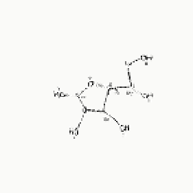 OC[C@H](O)[C@H]1O[C@@H](O)C(O)C1O